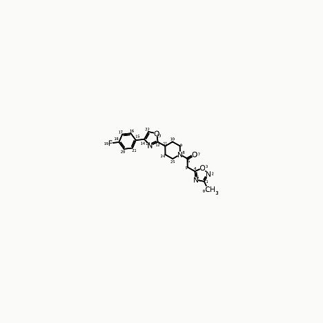 Cc1noc(CC(=O)N2CCC(c3nc(-c4ccc(F)cc4)co3)CC2)n1